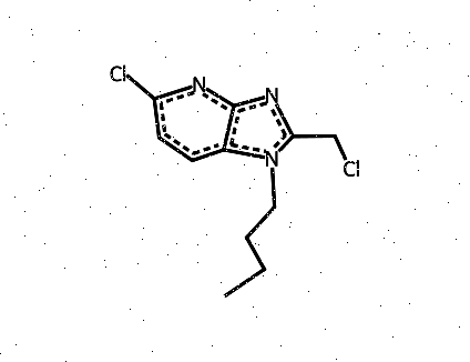 CCCCn1c(CCl)nc2nc(Cl)ccc21